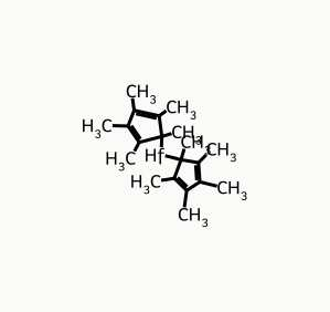 CC1=C(C)[C](C)([Hf][C]2(C)C(C)=C(C)C(C)=C2C)C(C)=C1C